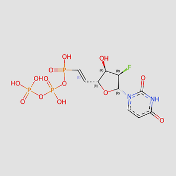 O=c1ccn([C@@H]2O[C@H](/C=C/P(=O)(O)OP(=O)(O)OP(=O)(O)O)[C@@H](O)[C@H]2F)c(=O)[nH]1